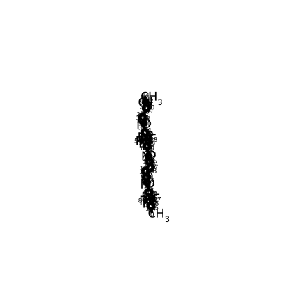 Cc1ccc(C(c2ccc(-c3nc4cc5ccc6c7cc8nc(-c9ccc(C(c%10ccc(-c%11nc%12ccc(-c%13ccc%14nc(C)oc%14c%13)cc%12o%11)cc%10)(C(F)(F)F)C(F)(F)F)cc9)oc8cc7ccc6c5cc4o3)cc2)(C(F)(F)F)C(F)(F)F)cc1